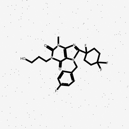 Cn1c(=O)n(CCCO)c(=O)c2c1nc(C1(F)CCC(F)(F)CC1)n2Cc1ccc(F)cc1